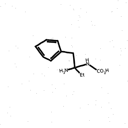 CCC(N)(Cc1ccccc1)NC(=O)O